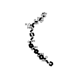 CN1NN(CCN2CCN(CCNC(=O)c3ccc4nc(-c5ccc(-c6nc7ccc(C(=O)NCCN8CCCCC8)cc7[nH]6)cc5)[nH]c4c3)CC2)C=C1CNC(=O)CNC(=O)CNC(=O)OC(C)(C)C